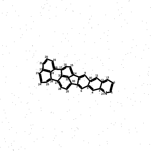 c1cnc2cc3cc4c(cc3cc2c1)-c1ccc2c3cccc5cccc(c6ccc-4c1c26)c53